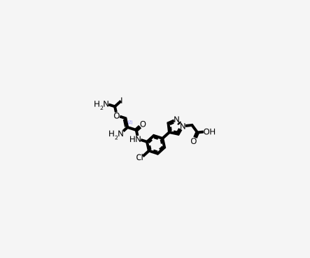 N/C(=C\OC(N)I)C(=O)Nc1cc(-c2cnn(CC(=O)O)c2)ccc1Cl